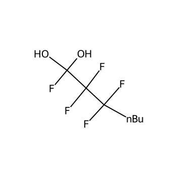 CCCCC(F)(F)C(F)(F)C(O)(O)F